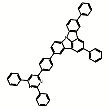 c1ccc(-c2ccc3c(c2)c2cc(-c4ccccc4)cc4c5cc(-c6ccc(-c7cc(-c8ccccc8)nc(-c8ccccc8)n7)cc6)ccc5n3c24)cc1